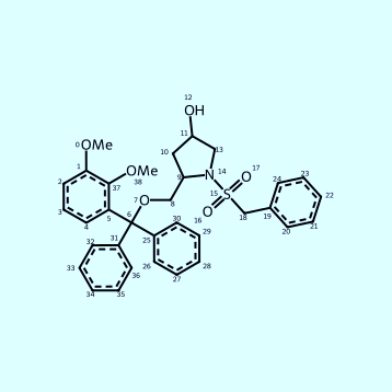 COc1cccc(C(OCC2CC(O)CN2S(=O)(=O)Cc2ccccc2)(c2ccccc2)c2ccccc2)c1OC